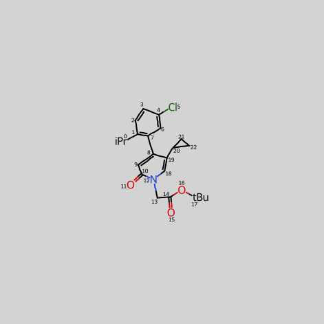 CC(C)c1ccc(Cl)cc1-c1cc(=O)n(CC(=O)OC(C)(C)C)cc1C1CC1